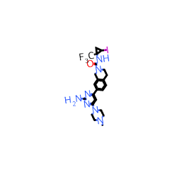 CN1CCN(c2cc(-c3ccc4c(c3)CN(C(=O)NC3(C(F)(F)F)CC3I)CC4)nc(N)n2)CC1